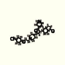 O=C1CCc2cc(-c3cc(C4CCN(CCOc5ccc(Cl)cc5)CC4)oc3-c3ccncc3)ccc21